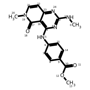 CNc1nc(Nc2ccc(C(=O)OC)cc2)c2c(=O)n(C)ccc2n1